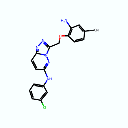 N#Cc1ccc(OCc2nnc3ccc(Nc4cccc(Cl)c4)nn23)c(N)c1